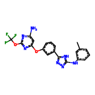 Cc1cccc(Nc2nnc(-c3cccc(Oc4cc(N)nc(OC(F)(F)F)n4)c3)[nH]2)c1